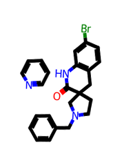 O=C1Nc2cc(Br)ccc2CC12CCN(Cc1ccccc1)C2.c1ccncc1